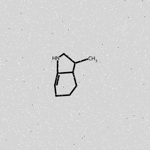 CC1CNC2=CCCCC21